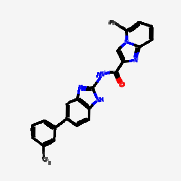 CC(C)c1cccc2nc(C(=O)Nc3nc4cc(-c5cccc(C(F)(F)F)c5)ccc4[nH]3)cn12